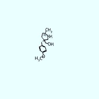 COc1ccc(C[C@]2(CO)CC[C@@H](C)NC2)cc1